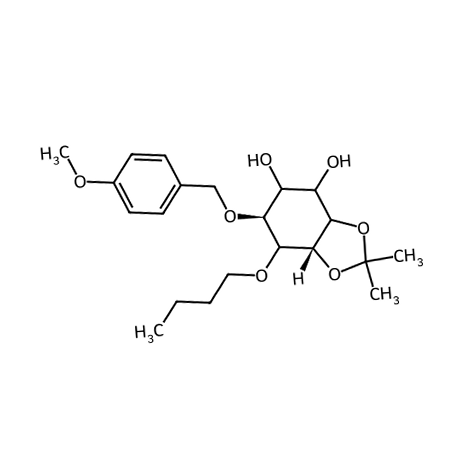 CCCCOC1[C@@H](OCc2ccc(OC)cc2)C(O)C(O)C2OC(C)(C)O[C@@H]21